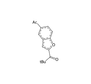 CC(=O)c1ccc2oc(C(=O)C(C)(C)C)cc2c1